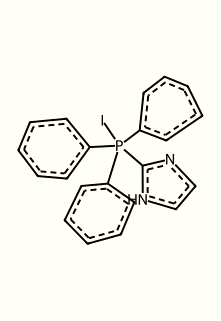 IP(c1ccccc1)(c1ccccc1)(c1ccccc1)c1ncc[nH]1